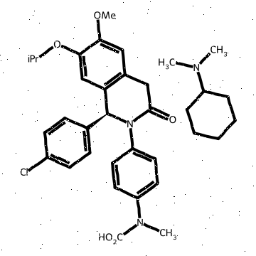 CN(C)C1CCCCC1.COc1cc2c(cc1OC(C)C)[C@H](c1ccc(Cl)cc1)N(c1ccc(N(C)C(=O)O)cc1)C(=O)C2